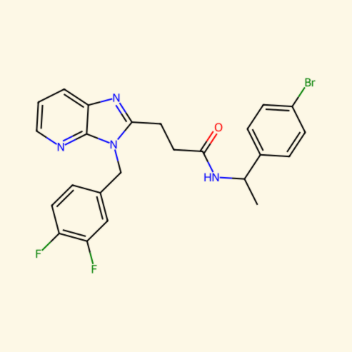 CC(NC(=O)CCc1nc2cccnc2n1Cc1ccc(F)c(F)c1)c1ccc(Br)cc1